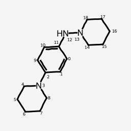 c1cc(N2CCCCC2)ccc1NN1CCCCC1